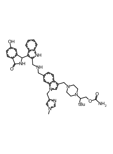 Cn1cnc(Cn2cc(CN3CCN(C(COC(N)=O)C(C)(C)C)CC3)c3ccc(CNCc4[nH]c5ccccc5c4C4NC(=O)c5ccc(O)cc54)cc32)c1